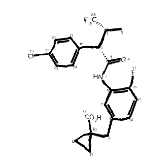 C[C@H]([C@H](C(=O)Nc1cc(CC2(C(=O)O)CC2)ccc1F)c1ccc(Cl)cc1)C(F)(F)F